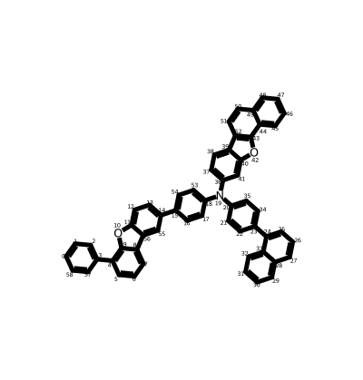 c1ccc(-c2cccc3c2oc2ccc(-c4ccc(N(c5ccc(-c6cccc7ccccc67)cc5)c5ccc6c(c5)oc5c7ccccc7ccc65)cc4)cc23)cc1